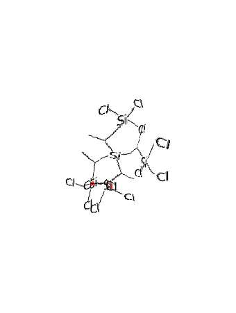 CC([Si](Cl)(Cl)Cl)[Si](C(C)[Si](Cl)(Cl)Cl)(C(C)[Si](Cl)(Cl)Cl)C(C)[Si](Cl)(Cl)Cl